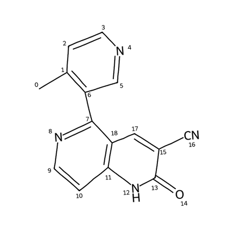 Cc1ccncc1-c1nccc2[nH]c(=O)c(C#N)cc12